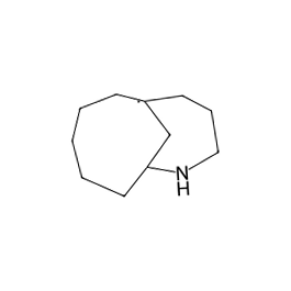 C1CC[C]2CCCNC(CC1)C2